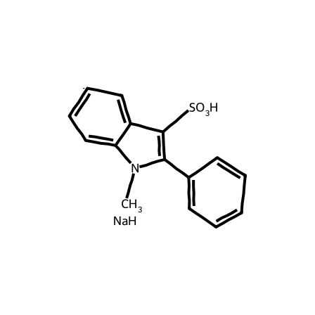 Cn1c(-c2ccccc2)c(S(=O)(=O)O)c2c[c]ccc21.[NaH]